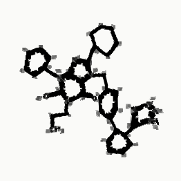 CCCn1c(=O)c2c(nc(C3CCCCC3)n2Cc2ccc(-c3ccccc3-c3nnn[nH]3)cc2)n(-c2ccccc2)c1=O